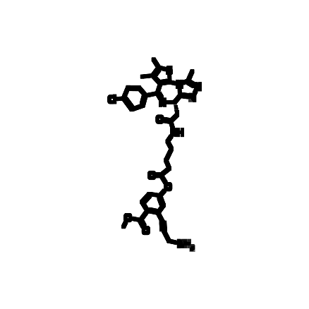 COC(=O)c1ccc(OC(=O)CCCCNC(=O)C[C@@H]2N=C(c3ccc(Cl)cc3)c3c(sc(C)c3C)-n3c(C)nnc32)cc1C#CCN